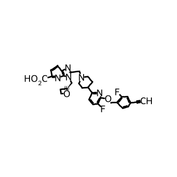 C#Cc1ccc(COc2nc(C3CCN(Cc4nc5ccc(C(=O)O)nc5n4C[C@@H]4CCO4)CC3)ccc2F)c(F)c1